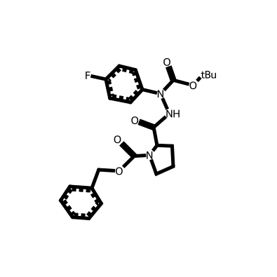 CC(C)(C)OC(=O)N(NC(=O)C1CCCN1C(=O)OCc1ccccc1)c1ccc(F)cc1